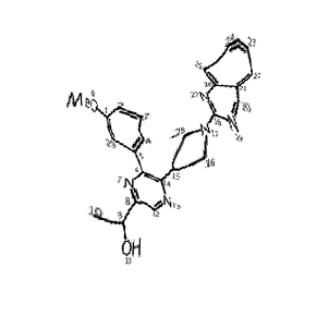 COc1cccc(-c2nc(C(C)O)cnc2C2CN(c3ncc4ccccc4n3)C2)c1